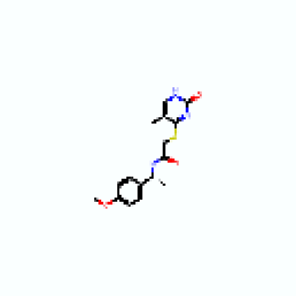 COc1ccc([C@@H](C)NC(=O)CSc2nc(=O)[nH]cc2C)cc1